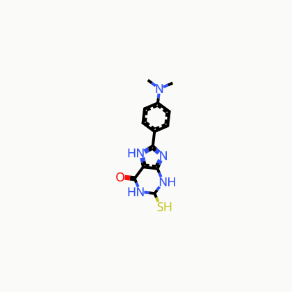 CN(C)c1ccc(-c2nc3c([nH]2)C(=O)NC(S)N3)cc1